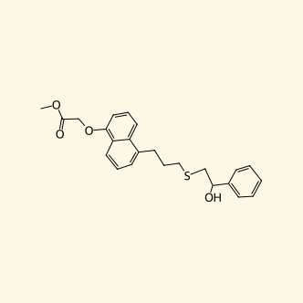 COC(=O)COc1cccc2c(CCCSCC(O)c3ccccc3)cccc12